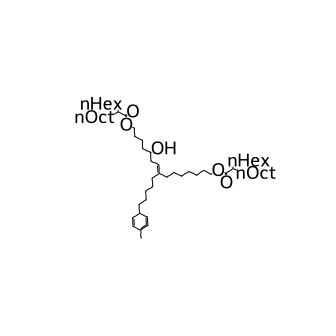 CCCCCCCCC(CCCCCC)C(=O)OCCCCCCC/C(=C/C[C@H](O)CCCCOC(=O)C(CCCCCC)CCCCCCCC)CCCCCC1C=C=C(C)C=C1